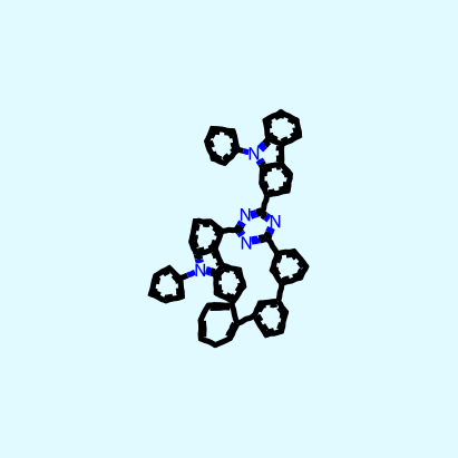 C1=CCC=C(c2cccc(-c3cccc(-c4nc(-c5ccc6c7ccccc7n(-c7ccccc7)c6c5)nc(-c5cccc6c5c5ccccc5n6-c5ccccc5)n4)c3)c2)C=C1